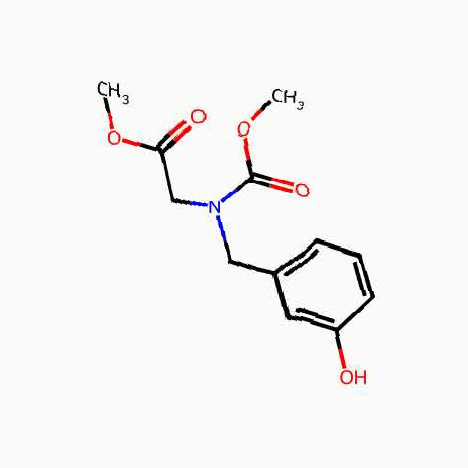 COC(=O)CN(Cc1cccc(O)c1)C(=O)OC